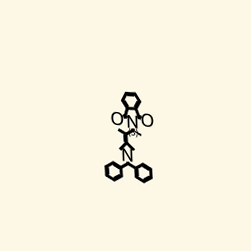 CC(=C1CN(C(c2ccccc2)c2ccccc2)C1)[C@H](C)N1C(=O)c2ccccc2C1=O